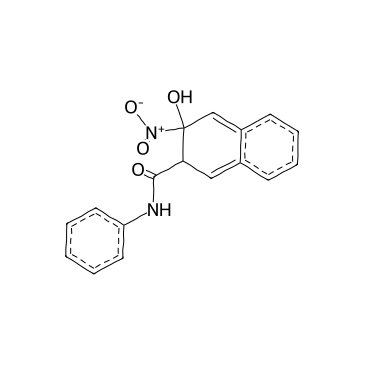 O=C(Nc1ccccc1)C1C=c2ccccc2=CC1(O)[N+](=O)[O-]